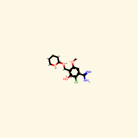 COc1cc(C(=N)N)c(Cl)c(O)c1COC1CCCCO1